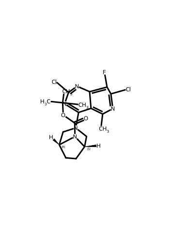 Cc1nc(Cl)c(F)c2nc(Cl)nc(N3C[C@H]4CC[C@@H](C3)N4C(=O)OC(C)(C)C)c12